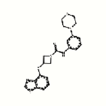 O=C(Nc1cccc(N2CCOCC2)c1)N1CC(Oc2cccc3scnc23)C1